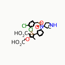 Cc1c(-c2cccc(N(C3CCNCC3)S(=O)(=O)Cc3ccc(Cl)c(Cl)c3)c2)sc(C(=O)O)c1OCC(=O)O